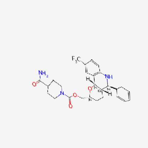 NC(=O)C1CCN(C(=O)OC[C@H]2CC[C@@H]3[C@H](O2)c2cc(C(F)(F)F)ccc2N[C@H]3C2C=CC=CC2)CC1